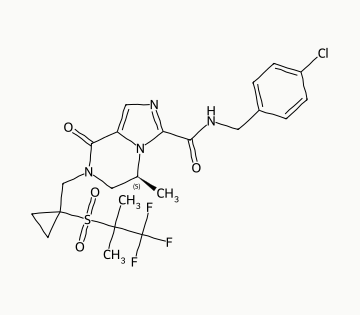 C[C@H]1CN(CC2(S(=O)(=O)C(C)(C)C(F)(F)F)CC2)C(=O)c2cnc(C(=O)NCc3ccc(Cl)cc3)n21